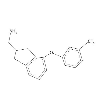 NCC1Cc2cccc(Oc3cccc(C(F)(F)F)c3)c2C1